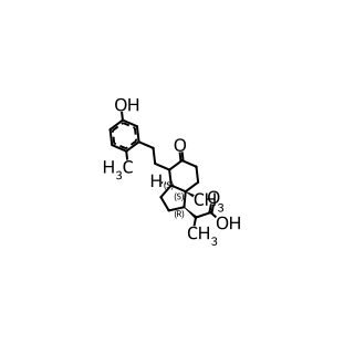 Cc1ccc(O)cc1CCC1C(=O)CC[C@]2(C)[C@@H](C(C)C(=O)O)CC[C@@H]12